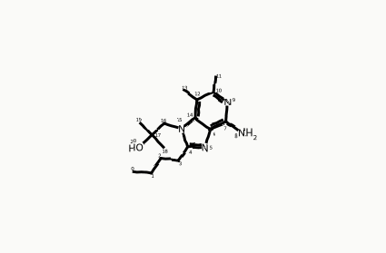 CCCCc1nc2c(N)nc(C)c(C)c2n1CC(C)(C)O